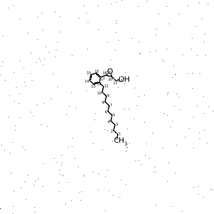 CCCCCCCCCCCCc1ccccc1C1OC1CO